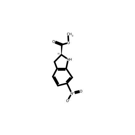 COC(=O)[C@@H]1Cc2ccc([N+](=O)[O-])cc2N1